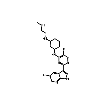 CNCCNC1CCCC(Nc2nc(-c3c[nH]c4c3=CC(Cl)CN=4)ncc2F)C1